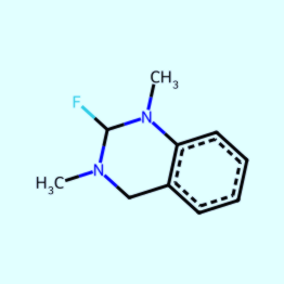 CN1Cc2ccccc2N(C)C1F